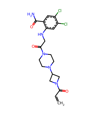 C=CC(=O)N1CC(N2CCN(C(=O)CNc3cc(Cl)c(Cl)cc3C(N)=O)CC2)C1